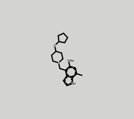 COc1cc(C)c2[nH]ccc2c1CN1CCC(OC2CCCC2)CC1